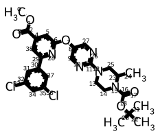 COC(=O)c1cc(Oc2cnc(N3CCN(C(=O)OC(C)(C)C)C(C)C3)nc2)nc(-c2cc(Cl)cc(Cl)c2)c1